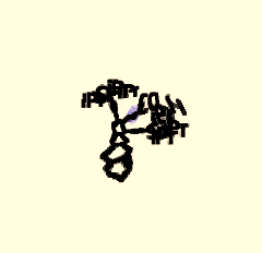 CC(C)[Si](C#Cc1cc2cc3cc4ccccc4cc3cc2c(C#C[Si](C(C)C)(C(C)C)C(C)C)c1/C=C/C(=O)O)(C(C)C)C(C)C